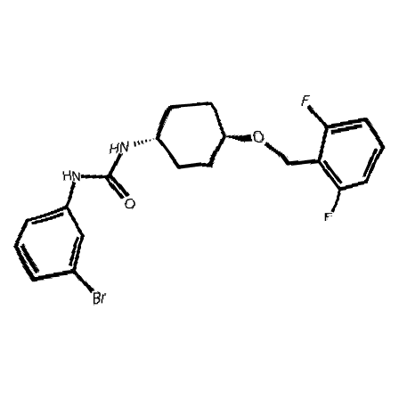 O=C(Nc1cccc(Br)c1)N[C@H]1CC[C@H](OCc2c(F)cccc2F)CC1